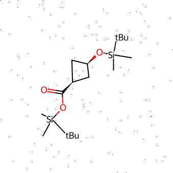 CC(C)(C)[Si](C)(C)OC(=O)[C@H]1C[C@@H](O[Si](C)(C)C(C)(C)C)C1